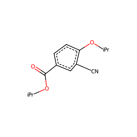 CC(C)OC(=O)c1ccc(OC(C)C)c(C#N)c1